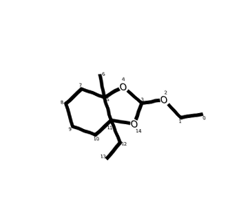 CCOC1OC2(C)CCCCC2(CC)O1